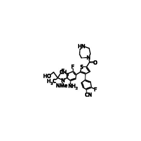 CNN(c1c(N)cc(-c2sc(C(=O)N3CCCNCC3)cc2-c2ccc(C#N)c(F)c2)c(F)c1F)C(C)(C)CO